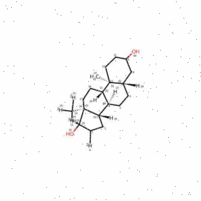 [2H]C1C[C@H]2[C@@H]3CC[C@H]4CC(O)CC[C@]4(C)[C@H]3CC[C@]2(C([2H])([2H])[2H])[C@@]1([2H])O